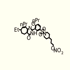 CCCOc1ccc(S(=O)(=O)N2CCC(CCCO[N+](=O)[O-])CC2)cc1-c1nc2c(c(=O)[nH]1)CCC(CC)C=C2CCC